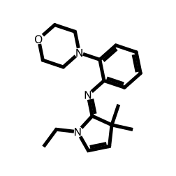 CCN1C=CC(C)(C)C1=Nc1ccccc1N1CCOCC1